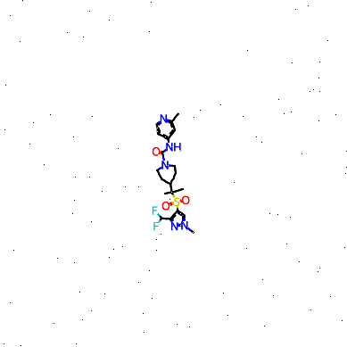 Cc1cc(NC(=O)N2CCC(C(C)(C)S(=O)(=O)c3cn(C)nc3C(F)F)CC2)ccn1